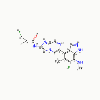 CC(C)Nc1c(F)c(C(F)(F)F)c(-c2cn3cc(NC(=O)C4CC4F)nc3cn2)c2cn[nH]c12